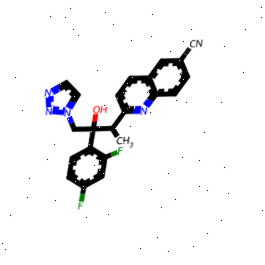 CC(c1ccc2cc(C#N)ccc2n1)C(O)(Cn1ccnn1)c1ccc(F)cc1F